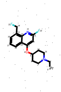 CC(C)CN1CCC(Oc2cc(F)nc3c(CF)cccc23)CC1